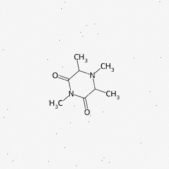 CC1C(=O)N(C)C(=O)C(C)N1C